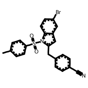 Cc1ccc(S(=O)(=O)n2c(Cc3ccc(C#N)cc3)cc3cc(Br)ccc32)cc1